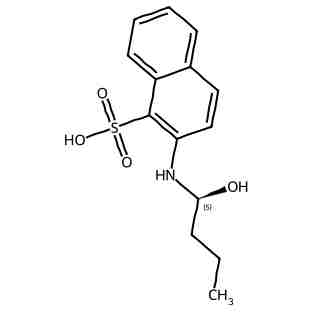 CCC[C@H](O)Nc1ccc2ccccc2c1S(=O)(=O)O